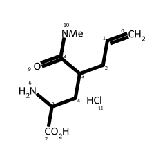 C=CCC(CC(N)C(=O)O)C(=O)NC.Cl